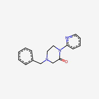 O=C1CN(Cc2ccccc2)CCN1c1ccccn1